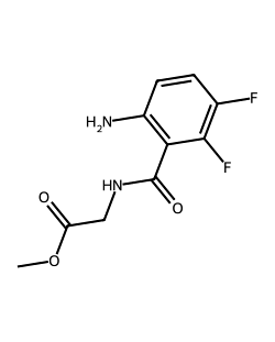 COC(=O)CNC(=O)c1c(N)ccc(F)c1F